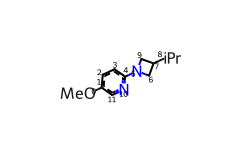 COc1ccc(N2CC(C(C)C)C2)nc1